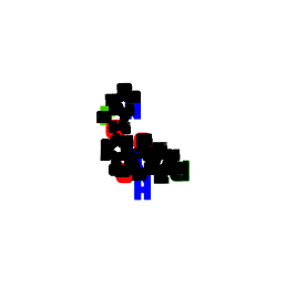 Cc1ccc(OCc2ncccc2F)cc1-n1c(=O)[nH]c2cc(Cl)ccc2c1=O